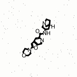 O=C(N[C@@H]1C[C@@H]2CCN(C2)C1)c1cc2cc(N3CCOCC3)oc2cn1